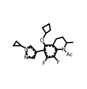 CC(=O)N1c2c(F)c(F)c(-c3cnn(C4CC4)c3)c(OC3CCC3)c2CCC1C